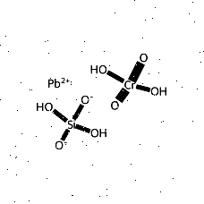 [O-][Si]([O-])(O)O.[O]=[Cr](=[O])([OH])[OH].[Pb+2]